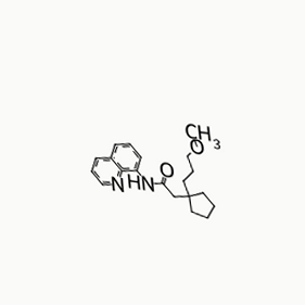 COCCCC1(CC(=O)Nc2cccc3cccnc23)CCCC1